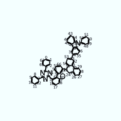 c1ccc(-c2nc(-c3ccccc3)nc(-c3cccc4oc5c(C6Cc7ccccc7-c7cc(-c8ccc9c(c8)c8ccccc8n9-c8ccccc8)ccc76)cccc5c34)n2)cc1